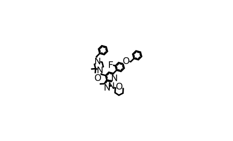 Cc1nn(C2CCCCO2)c2nc(-c3ccc(OCc4ccccc4)cc3F)cc(C(=O)N3CCN(Cc4ccccc4)CC3(C)C)c12